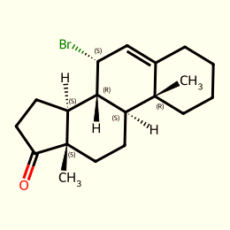 C[C@]12CCCCC1=C[C@@H](Br)[C@@H]1[C@@H]2CC[C@]2(C)C(=O)CC[C@@H]12